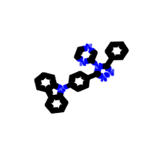 c1ccc(-c2nnc(-c3ccc(-n4c5ccccc5c5ccccc54)cc3)n2-c2cnccn2)cc1